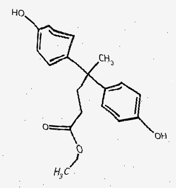 COC(=O)CCC(C)(c1ccc(O)cc1)c1ccc(O)cc1